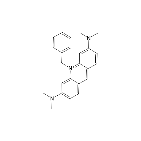 CN(C)c1ccc2cc3ccc(N(C)C)cc3[n+](Cc3ccccc3)c2c1